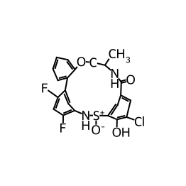 CC1COc2ccccc2-c2cc(c(F)cc2F)N[S+]([O-])c2cc(cc(Cl)c2O)C(=O)N1